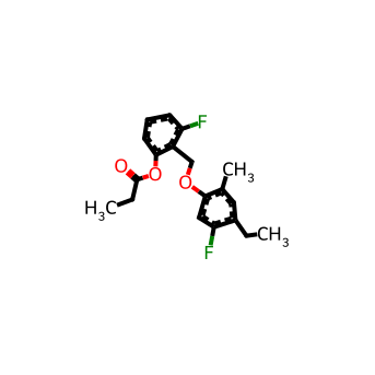 CCC(=O)Oc1cccc(F)c1COc1cc(F)c(CC)cc1C